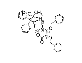 CC(C)(C)[Si](OC[C@H]1OC(=O)[C@H](OCc2ccccc2)[C@@H](OCc2ccccc2)[C@@H]1F)(c1ccccc1)c1ccccc1